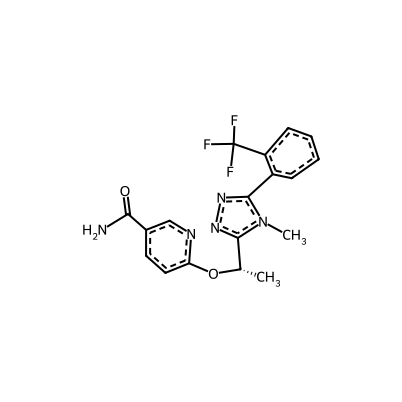 C[C@H](Oc1ccc(C(N)=O)cn1)c1nnc(-c2ccccc2C(F)(F)F)n1C